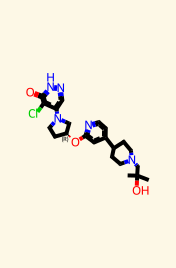 CC(C)(O)CN1CCC(c2ccnc(O[C@@H]3CCN(c4cn[nH]c(=O)c4Cl)C3)c2)CC1